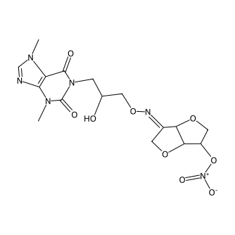 Cn1cnc2c1c(=O)n(CC(O)CON=C1COC3C(O[N+](=O)[O-])COC13)c(=O)n2C